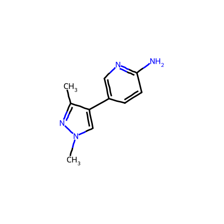 Cc1nn(C)cc1-c1ccc(N)nc1